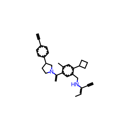 C#C/C(=C/C)NCc1cc(C(=C)N2CCC(c3ccc(C#C)cc3)C2)c(C)cc1C1CCC1